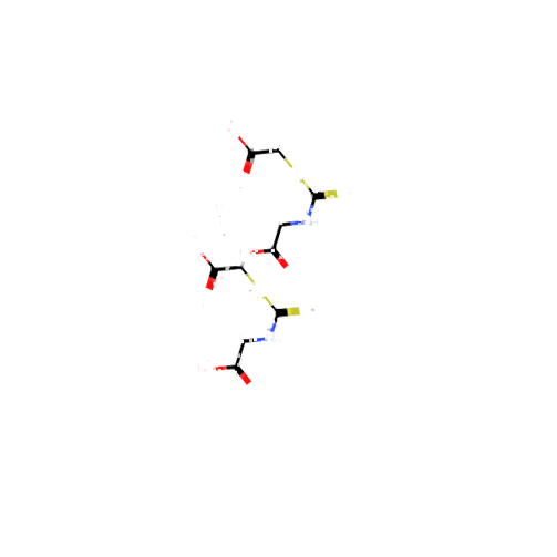 O=C(O)CNC(=S)[SH-]CC(=O)O.O=C(O)CNC(=S)[SH-]CC(=O)O.[Li+].[Li+]